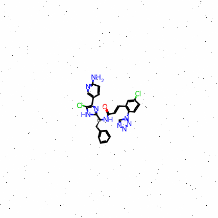 Nc1ccc(-c2nc([C@H](Cc3ccccc3)NC(=O)C=Cc3cc(Cl)ccc3-n3cnnn3)[nH]c2Cl)cn1